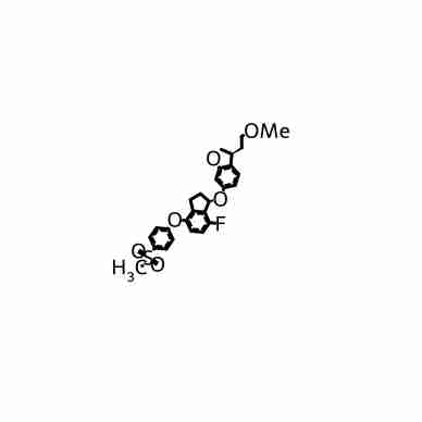 COCC[C@@H]1COc2cc(O[C@@H]3CCc4c(Oc5ccc(S(C)(=O)=O)cc5)ccc(F)c43)ccc21